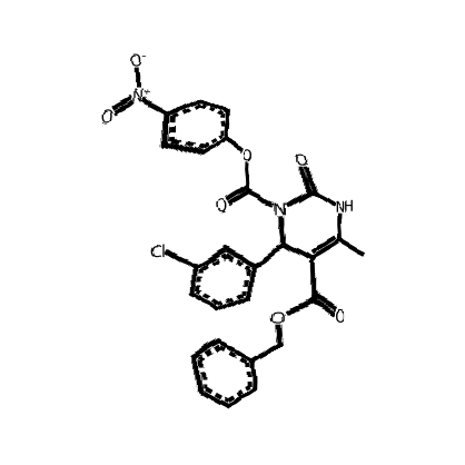 CC1=C(C(=O)OCc2ccccc2)C(c2cccc(Cl)c2)N(C(=O)Oc2ccc([N+](=O)[O-])cc2)C(=O)N1